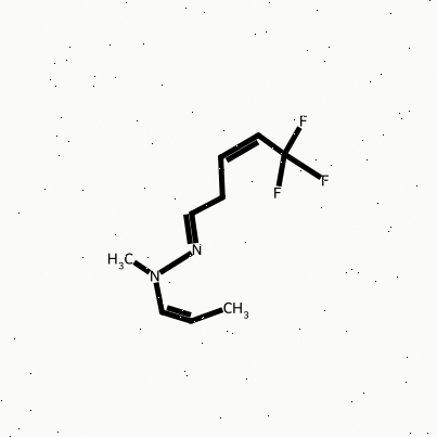 C/C=C\N(C)/N=C/C/C=C\C(F)(F)F